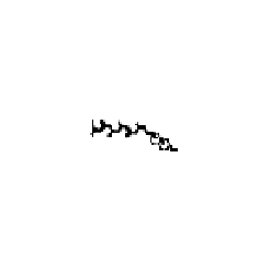 CCCOCOCCCC(C)CC(C)CC(C)CC(C)CC(C)CC(C)I